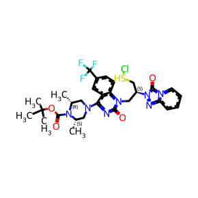 C[C@@H]1CN(c2nc(=O)n3c4c(cc(C(F)(F)F)cc24)[SH](Cl)C[C@@H](n2nc4ccccn4c2=O)C3)C[C@H](C)N1C(=O)OC(C)(C)C